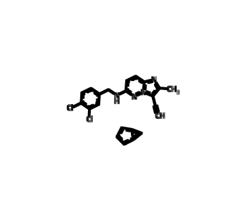 C#Cc1c(C)nc2ccc(NCc3ccc(Cl)c(Cl)c3)nn12.c1cc2cc-2c1